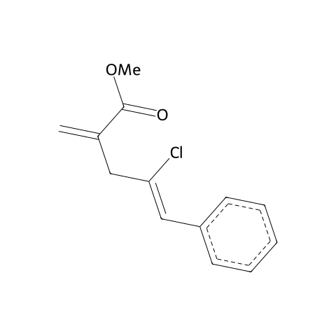 C=C(CC(Cl)=Cc1ccccc1)C(=O)OC